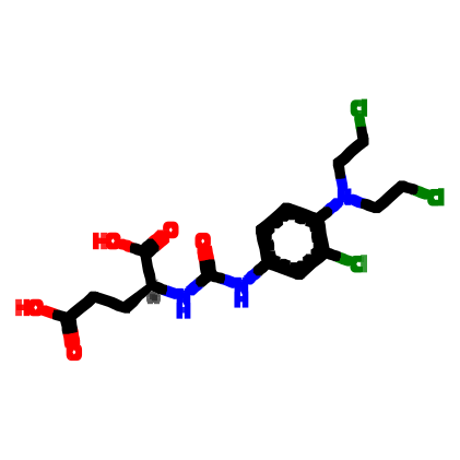 O=C(O)CC[C@H](NC(=O)Nc1ccc(N(CCCl)CCCl)c(Cl)c1)C(=O)O